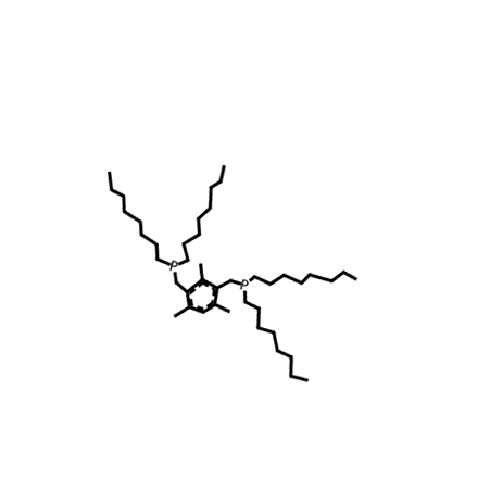 CCCCCCCCP(CCCCCCCC)Cc1c(C)cc(C)c(CP(CCCCCCCC)CCCCCCCC)c1C